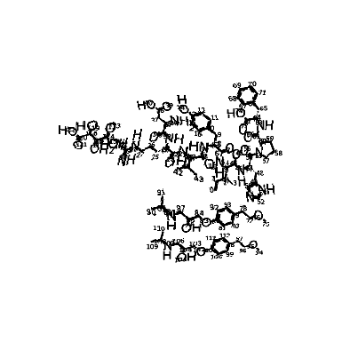 CC[C@H](C)[C@H](NC(=O)[C@H](Cc1ccc(O)cc1)NC(=O)[C@@H](NC(=O)[C@H](CCCNC(=N)N)NC(=O)[C@@H](N)CC(=O)O)C(C)C)C(=O)N[C@@H](Cc1cnc[nH]1)C(=O)N1CCC[C@H]1C(=O)N[C@@H](Cc1ccccc1)C(=O)O.COCCc1ccc(OCC(O)CNC(C)C)cc1.COCCc1ccc(OCC(O)CNC(C)C)cc1.O=C(O)C(O)C(O)C(=O)O